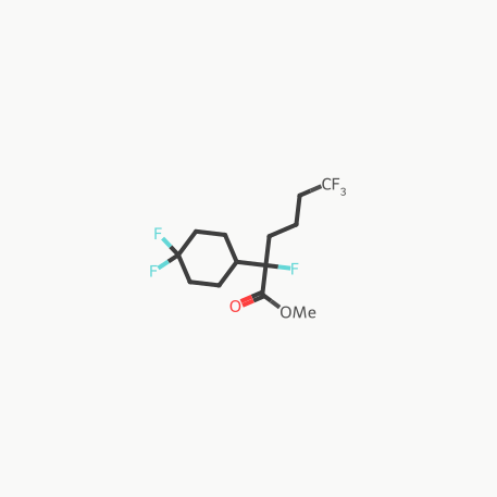 COC(=O)C(F)(CCCC(F)(F)F)C1CCC(F)(F)CC1